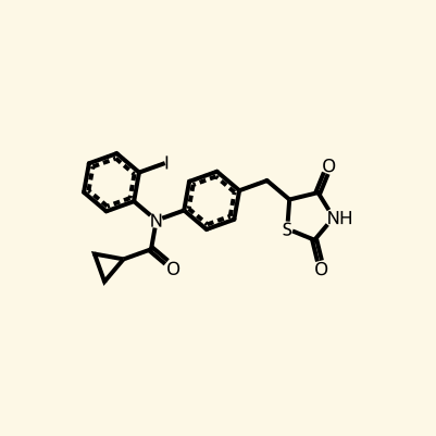 O=C1NC(=O)C(Cc2ccc(N(C(=O)C3CC3)c3ccccc3I)cc2)S1